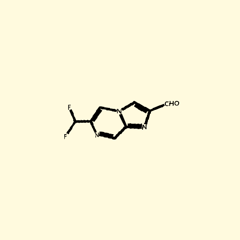 O=Cc1cn2cc(C(F)F)ncc2n1